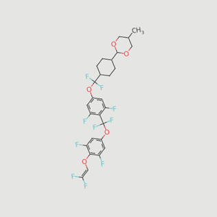 CC1COC(C2CCC(C(F)(F)Oc3cc(F)c(C(F)(F)Oc4cc(F)c(OC=C(F)F)c(F)c4)c(F)c3)CC2)OC1